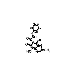 Cc1cnc2c(c1)c(O)c(C(=O)NCc1ccccc1)c(=O)n2O